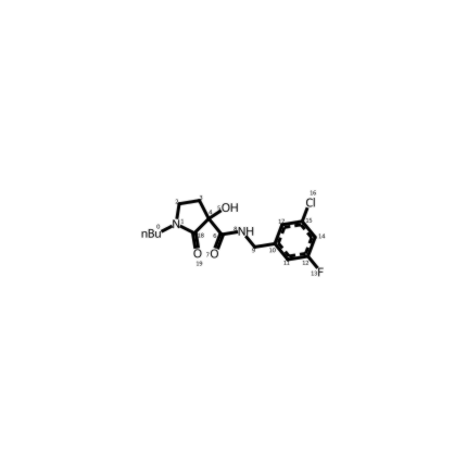 CCCCN1CCC(O)(C(=O)NCc2cc(F)cc(Cl)c2)C1=O